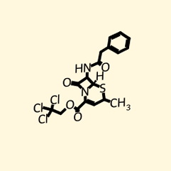 CC1C=C(C(=O)OCC(Cl)(Cl)Cl)N2C(=O)C(NC(=O)Cc3ccccc3)[C@@H]2S1